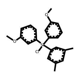 COc1cccc([Si](Cl)(c2cc(C)cc(C)c2)c2cccc(OC)c2)c1